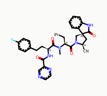 CC(C)C[C@@H](C(=O)N1C[C@]2(C[C@H]1C#N)C(=O)Nc1ccccc12)N(C)C(=O)[C@H](CCc1ccc(F)cc1)NC(=O)c1cnccn1